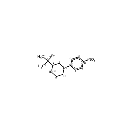 CCC(C)(C)C1CN(c2ccc([N+](=O)[O-])cc2)CCN1